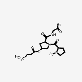 CCC(=O)CNC(=O)C1CC(OC(=O)CCC(=O)O)CN1C(=O)C1CCCN1CC